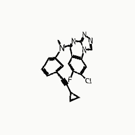 CN(c1cccc(C#CC2CC2)c1)c1nc2nncn2c2cc(Cl)c(F)cc12